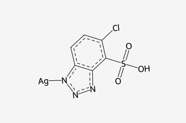 O=S(=O)(O)c1c(Cl)ccc2c1nn[n]2[Ag]